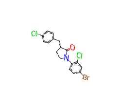 O=C1C(Cc2ccc(Cl)cc2)CCN1c1ccc(Br)cc1Cl